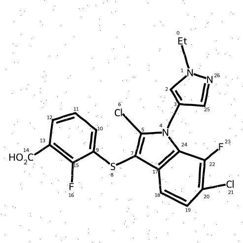 CCn1cc(-n2c(Cl)c(Sc3cccc(C(=O)O)c3F)c3ccc(Cl)c(F)c32)cn1